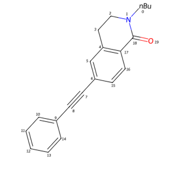 CCCCN1CCc2cc(C#Cc3ccccc3)ccc2C1=O